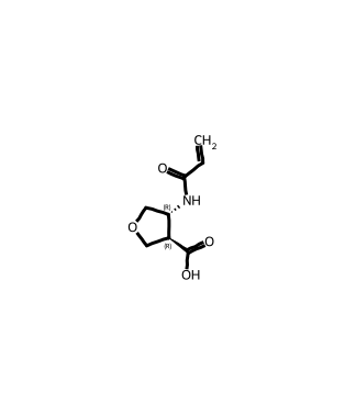 C=CC(=O)N[C@H]1COC[C@@H]1C(=O)O